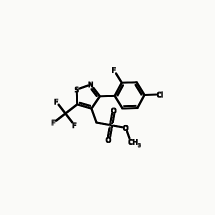 COS(=O)(=O)Cc1c(-c2ccc(Cl)cc2F)nsc1C(F)(F)F